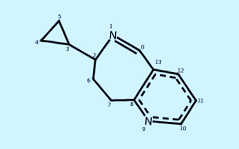 C1=NC(C2CC2)CCc2ncccc21